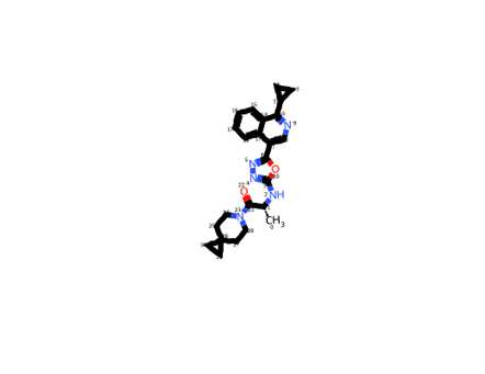 C[C@@H](Nc1nnc(-c2cnc(C3CC3)c3ccccc23)o1)C(=O)N1CCC2(CC1)CC2